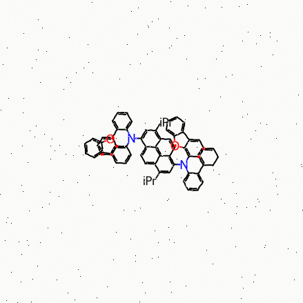 CC(C)c1cc(N(c2ccccc2C2=CC=CCC2)c2cccc3c2oc2ccccc23)c2ccc3c(C(C)C)cc(N(c4ccccc4-c4ccccc4)c4cccc5c4oc4ccccc45)c4ccc1c2c34